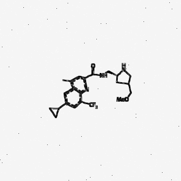 COCC1CN[C@H](CNC(=O)c2cc(C)c3cc(C4CC4)cc(C(F)(F)F)c3n2)C1